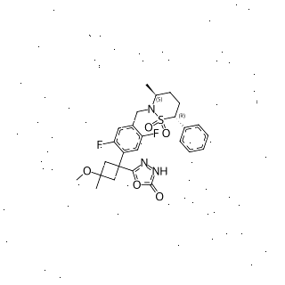 COC1(C)CC(c2n[nH]c(=O)o2)(c2cc(F)c(CN3[C@@H](C)CC[C@H](c4ccccc4)S3(=O)=O)cc2F)C1